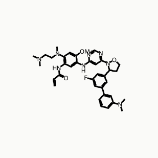 C=CC(=O)Nc1cc(Nc2cc(N3OCCC3c3cc(F)cc(-c4cccc(N(C)C)c4)c3)ncn2)c(OC)cc1N(C)CCN(C)C